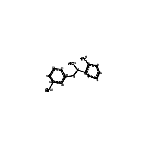 C[C](C)c1ccccc1C(O)Cc1cccc(Br)c1